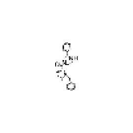 O=C(C1=CC[CH]C(Cc2ccccc2)=C1)N1CCNC(c2ccccc2)C1